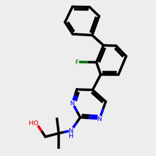 CC(C)(CO)Nc1ncc(-c2cccc(-c3ccccc3)c2F)cn1